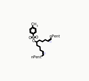 CCCCC/C=C\CCCC(CCC/C=C\CCCCC)OS(=O)(=O)c1ccc(C)cc1